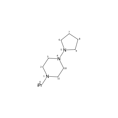 CC(C)N1CCN(N2CCCC2)CC1